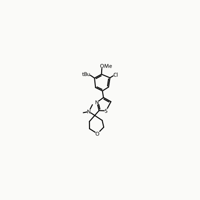 COc1c(Cl)cc(-c2csc(C3(N(C)C)CCOCC3)n2)cc1C(C)(C)C